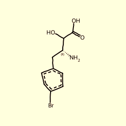 N[C@H](Cc1ccc(Br)cc1)C(O)C(=O)O